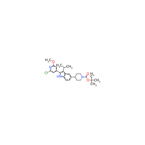 COc1cc(-c2[nH]c3ccc(C4CCN(C(=O)OC(C)(C)C)CC4)cc3c2C(C)C)cc(Cl)n1